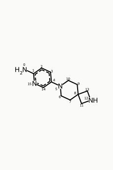 Nc1ccc(N2CCC3(CC2)CNC3)cn1